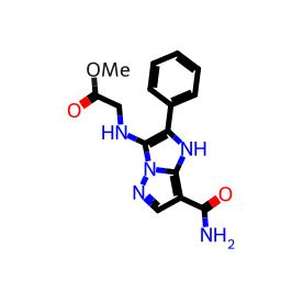 COC(=O)CNc1c(-c2ccccc2)[nH]c2c(C(N)=O)cnn12